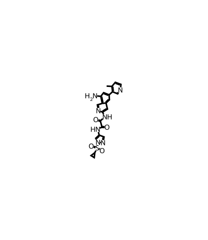 Cc1ccncc1-c1cc(N)c2cnc(NC(=O)C(=O)Nc3cnn(S(=O)(=O)C4CC4)c3)cc2c1